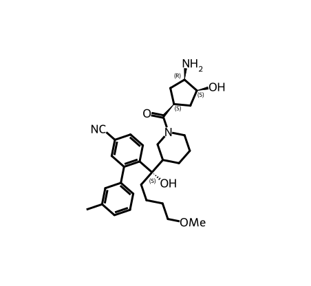 COCCCC[C@@](O)(c1ccc(C#N)cc1-c1cccc(C)c1)C1CCCN(C(=O)[C@H]2C[C@@H](N)[C@@H](O)C2)C1